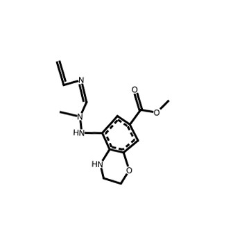 C=C/N=C\N(C)Nc1cc(C(=O)OC)cc2c1NCCO2